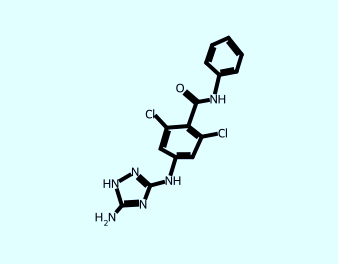 Nc1nc(Nc2cc(Cl)c(C(=O)Nc3ccccc3)c(Cl)c2)n[nH]1